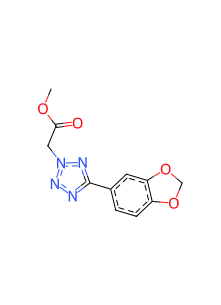 COC(=O)Cn1nnc(-c2ccc3c(c2)OCO3)n1